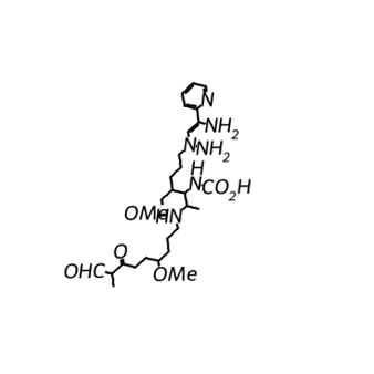 COCC(CCCN(N)/C=C(\N)c1ccccn1)C(NC(=O)O)C(C)NCCCC(CCC(=O)C(C)C=O)OC